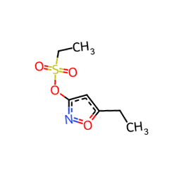 CCc1cc(OS(=O)(=O)CC)no1